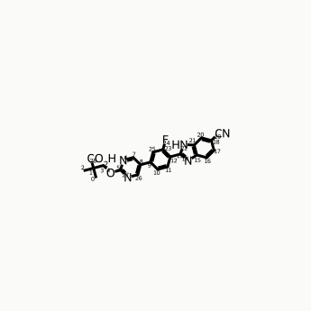 CC(C)(COc1ncc(-c2ccc(-c3nc4ccc(C#N)cc4[nH]3)c(F)c2)cn1)C(=O)O